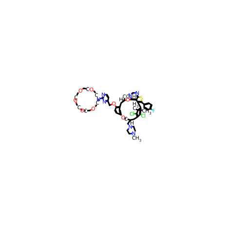 Cc1c(Cl)c2c(Cl)c(C)c1-c1c(-c3ccc(F)cc3)sc3ncnc(c13)O[C@@H](C(=O)O)Cc1cc(ccc1OCc1ccnc(N3CCOCCOCCOCCOCCOCC3)n1)OC[C@@H](CN1CCN(C)CC1)C2